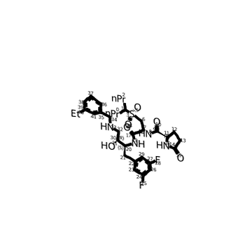 CCCC(CCC)S(=O)(=O)CC(NC(=O)[C@H]1CCC(=O)N1)C(=O)N[C@@H](Cc1cc(F)cc(F)c1)[C@H](O)CNCc1cccc(CC)c1